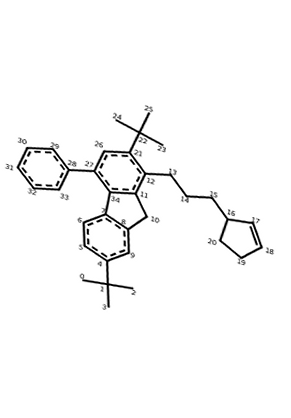 CC(C)(C)c1ccc2c(c1)Cc1c(CCCC3C=CCC3)c(C(C)(C)C)cc(-c3ccccc3)c1-2